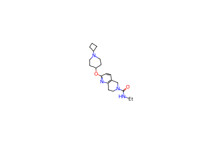 CCNC(=O)N1CCc2nc(OC3CCN(C4CCC4)CC3)ccc2C1